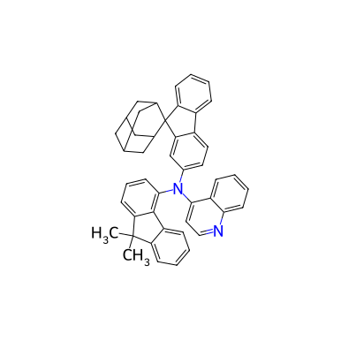 CC1(C)c2ccccc2-c2c(N(c3ccc4c(c3)C3(c5ccccc5-4)C4CC5CC(C4)CC3C5)c3ccnc4ccccc34)cccc21